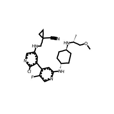 COC[C@@H](C)N[C@H]1CC[C@H](Nc2cc(-c3cc(NCC4(C#N)CC4)cnc3Cl)c(F)cn2)CC1